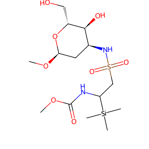 COC(=O)NC(CS(=O)(=O)N[C@H]1C[C@@H](OC)O[C@H](CO)[C@H]1O)[Si](C)(C)C